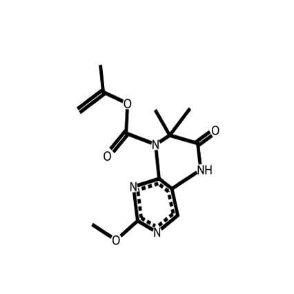 C=C(C)OC(=O)N1c2nc(OC)ncc2NC(=O)C1(C)C